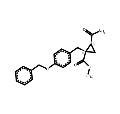 COC(=O)[C@@]1(Cc2ccc(OCc3ccccc3)cc2)C[C@@H]1C(N)=O